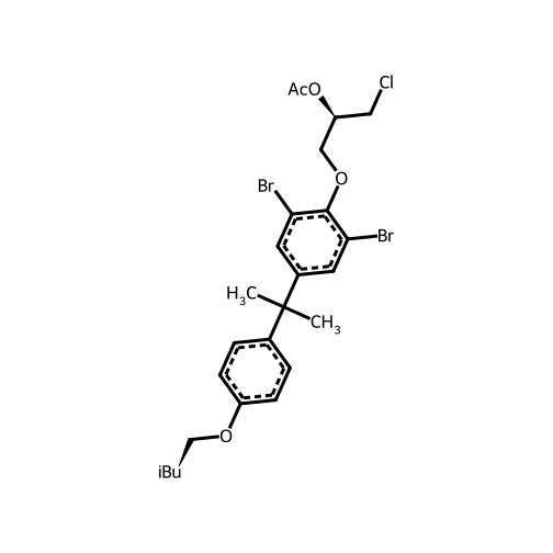 CC[C@H](C)COc1ccc(C(C)(C)c2cc(Br)c(OC[C@H](CCl)OC(C)=O)c(Br)c2)cc1